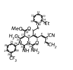 C=C/C(C#N)=C\C=C(/CC[n+]1ccccc1CC)[C@@H]1C(C(=O)OC)=C(C)N(c2cccc(C(F)(F)F)c2)C(=N)N1C(N)=O